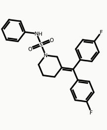 O=S(=O)(Nc1ccccc1)N1CCCC(=C(c2ccc(F)cc2)c2ccc(F)cc2)C1